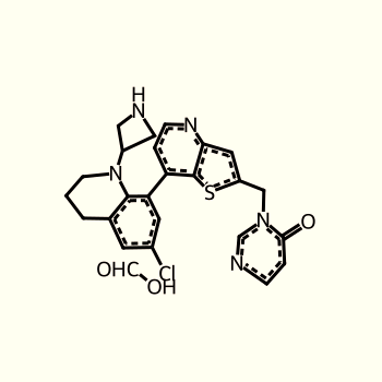 O=CO.O=c1ccncn1Cc1cc2nccc(-c3cc(Cl)cc4c3N(C3CNC3)CCC4)c2s1